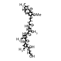 C=C1C[C@@H]2C=Nc3cc(OCCCC(=O)Nc4cn(C)c(C(=O)Nc5cc(C(=O)Nc6cc(C(O)NCCCO)n(C)c6)n(C)c5)n4)c(OC)cc3C(=O)N2C1